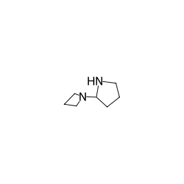 C1CNC(N2CCC2)C1